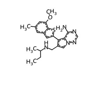 CCC(C)NCc1cn2ncnc(N)c2c1-c1cc2cc(C)cc(OC)c2s1